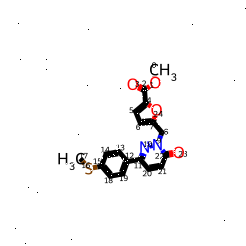 COC(=O)c1ccc(Cn2nc(-c3ccc(SC)cc3)ccc2=O)o1